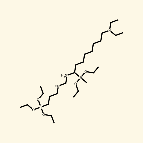 CCO[Si](CCCNC[SiH2]C(CCCCCCCN(CC)CC)[Si](C)(OCC)OCC)(OCC)OCC